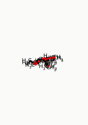 CC(C)CCCC(C)[C@H]1CC[C@H]2[C@@H]3CC=C4C[C@@H](OC(=O)CN(CCCCCCCCNC(=O)OC(C)(C)C)C(=O)C(CCCNC(=O)OC(C)(C)C)NC(=O)OC(C)(C)C)CC[C@]4(C)[C@H]3CC[C@]12C